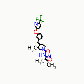 Cc1onc(NC(=O)N2CC/C(=C\c3cccc(Oc4ccc(C(F)(F)F)nc4)c3)C(C)C2)c1C